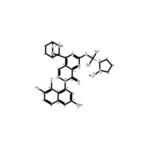 [2H]C([2H])(Oc1nc(N2CC3CCC2CN3)c2cnn(-c3cc(O)cc4ccc(F)c(F)c34)c(=O)c2n1)[C@@H]1CCCN1C